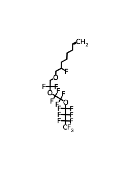 C=CCCCCC(F)COCC(F)(F)OC(F)(F)C(F)(F)OC(F)(F)C(F)(F)C(F)(F)C(F)(F)F